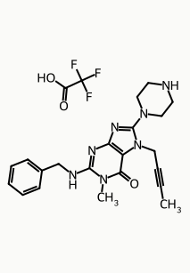 CC#CCn1c(N2CCNCC2)nc2nc(NCc3ccccc3)n(C)c(=O)c21.O=C(O)C(F)(F)F